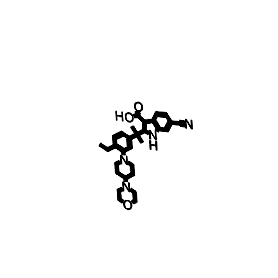 CCc1ccc(C(C)(C)C2Nc3cc(C#N)ccc3C2C(=O)O)cc1N1CCC(N2CCOCC2)CC1